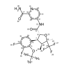 [2H]C([2H])([2H])Oc1c([C@H]2[C@H](C(=O)Nc3ccnc(C(N)=O)c3)O[C@@](C)(C(F)(F)F)[C@H]2C)ccc(F)c1F